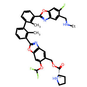 CCNCc1cc2nc(-c3cccc(-c4cccc(-c5nc6cc(COC(=O)[C@@H]7CCCN7)c(OC(F)F)cc6o5)c4C)c3C)oc2cc1F